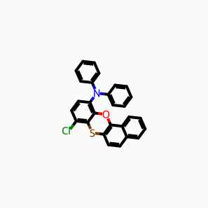 Clc1ccc(N(c2ccccc2)c2ccccc2)c2c1Sc1ccc3ccccc3c1O2